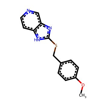 COc1ccc(CSc2nc3cnccc3[nH]2)cc1